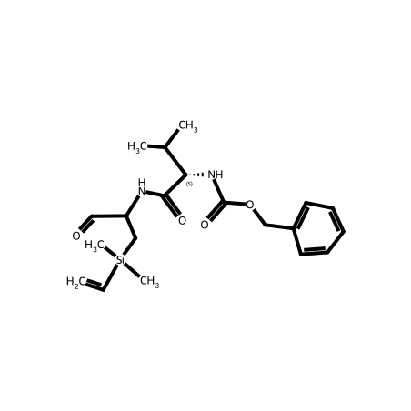 C=C[Si](C)(C)CC(C=O)NC(=O)[C@@H](NC(=O)OCc1ccccc1)C(C)C